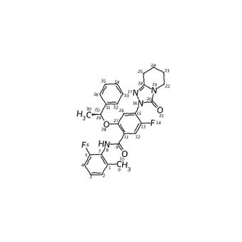 Cc1cccc(F)c1NC(=O)c1cc(F)c(-n2nc3n(c2=O)CCCC3)cc1O[C@@H](C)c1ccccc1